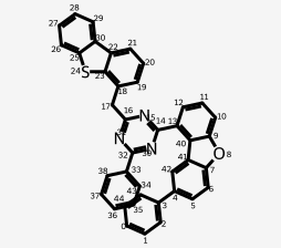 c1ccc(-c2ccc3oc4cccc(-c5nc(Cc6cccc7c6sc6ccccc67)nc(-c6ccccc6)n5)c4c3c2)cc1